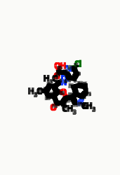 Cc1cc(C(C)Nc2ccc(Cl)nc2C(=O)O)c2oc(-c3cn(C)c4ccccc34)c(C)c(=O)c2c1